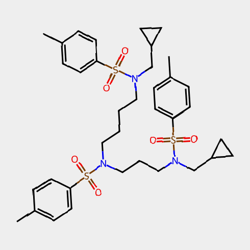 Cc1ccc(S(=O)(=O)N(CCCCN(CC2CC2)S(=O)(=O)c2ccc(C)cc2)CCCN(CC2CC2)S(=O)(=O)c2ccc(C)cc2)cc1